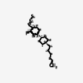 C=CCCCC[C@H]1CC[C@H](c2ccc(N=C=S)c(F)c2)CC1